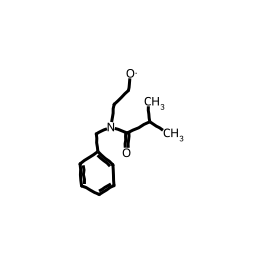 CC(C)C(=O)N(CC[O])Cc1ccccc1